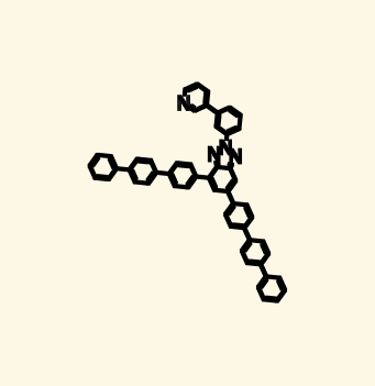 c1ccc(-c2ccc(-c3ccc(-c4cc(-c5ccc(-c6ccc(-c7ccccc7)cc6)cc5)c5nn(-c6cccc(-c7cccnc7)c6)nc5c4)cc3)cc2)cc1